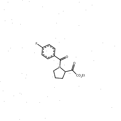 CCOC(=O)C(=O)C1CCCN1C(=O)c1ccc(F)cc1